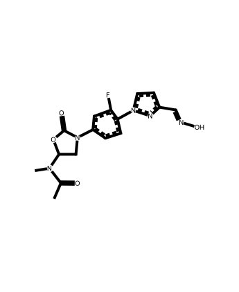 CC(=O)N(C)C1CN(c2ccc(-n3ccc(C=NO)n3)c(F)c2)C(=O)O1